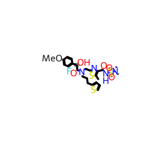 COc1ccc([C@@H](O)C(=O)N(CCCc2cccs2)Cc2nc(C(=O)NS(=O)(=O)N(C)C)c(C)s2)c(F)c1